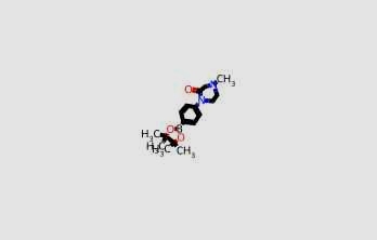 CN1CCN(c2ccc(B3OC(C)(C)C(C)(C)O3)cc2)C(=O)C1